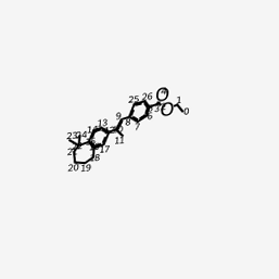 CCOC(=O)c1ccc(/C=C(\C)c2ccc3c(c2)CCCCC3(C)C)cc1